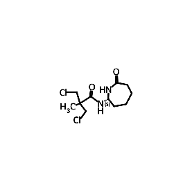 CC(CCl)(CCl)C(=O)N[C@H]1CCCCC(=O)N1